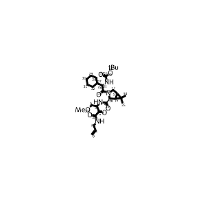 C=CCNC(=O)C(=O)C(COC)NC(=O)[C@@H]1C2C(CN1C(=O)[C@@H](NC(=O)OC(C)(C)C)C1CCCCC1)C2(C)C